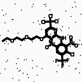 CCOCCOCCOc1cc(C(Cl)(Cl)Cl)nc(Nc2c([N+](=O)[O-])cc(C(F)(F)F)c(Cl)c2[N+](=O)[O-])n1